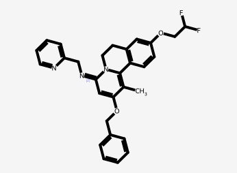 Cc1c(OCc2ccccc2)c/c(=N/Cc2ccccn2)n2c1-c1ccc(OCC(F)F)cc1CC2